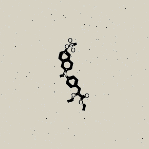 CCOC(=O)C(Cc1ccc(N(C)C2CCc3cc(OS(C)(=O)=O)ccc3C2)cc1)OCC